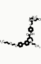 CCCCOCCOc1ccc(-c2ccc3c(c2)C=C(C(=O)Nc2ccc(SCc4nncn4CC(C)C)cc2)CCN3CCC)cc1